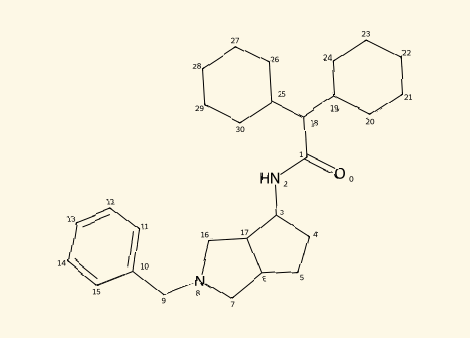 O=C(NC1CCC2CN(Cc3ccccc3)CC21)C(C1CCCCC1)C1CCCCC1